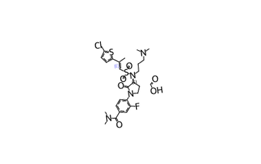 C/C(=C\S(=O)(=O)N(CCCN(C)C)[C@H]1CCN(c2ccc(C(=O)N(C)C)cc2F)C1=O)c1ccc(Cl)s1.O=CO